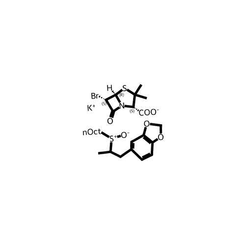 CC1(C)S[C@@H]2[C@@H](Br)C(=O)N2[C@H]1C(=O)[O-].CCCCCCCC[S+]([O-])C(C)Cc1ccc2c(c1)OCO2.[K+]